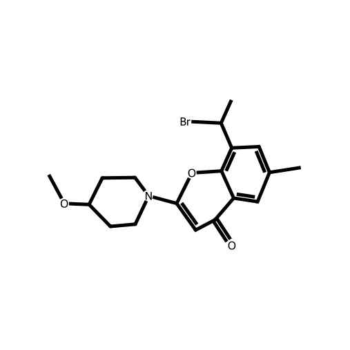 COC1CCN(c2cc(=O)c3cc(C)cc(C(C)Br)c3o2)CC1